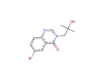 CC(C)(O)Cn1cnc2ccc(Br)cc2c1=O